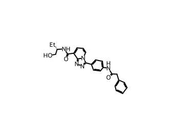 CC[C@@H](CO)NC(=O)c1cccn2c(-c3ccc(NC(=O)Cc4ccccc4)cc3)nnc12